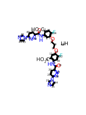 O=C(Nc1cc(OCCCOc2cc(C(=O)O)c(NC(=O)c3ccc(-n4ccnc4)nn3)cc2F)c(F)cc1C(=O)O)c1ccc(-n2ccnc2)nn1.[LiH]